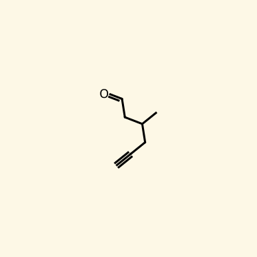 C#CCC(C)CC=O